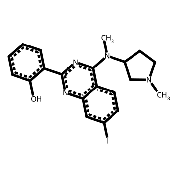 CN1CCC(N(C)c2nc(-c3ccccc3O)nc3cc(I)ccc23)C1